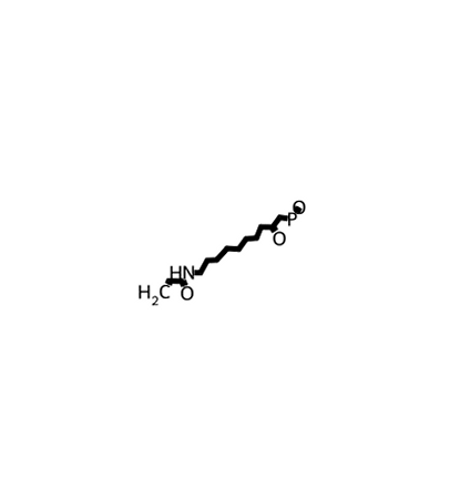 C=CC(=O)NCCCCCCCCC(=O)CP=O